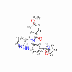 CC(C)OC1CCC(C(=O)N2Cc3cccnc3Nc3ccc(N4CC5CCC4CO5)cc32)CC1